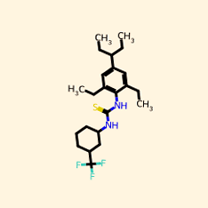 CCc1cc(C(CC)CC)cc(CC)c1NC(=S)NC1CCCC(C(F)(F)F)C1